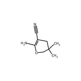 CC1(C)COC(N)=C(C#N)C1